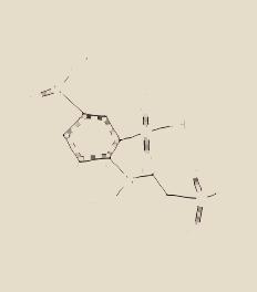 CN(CCS(=O)(=O)O)c1ccc([N+](=O)[O-])cc1S(=O)(=O)O